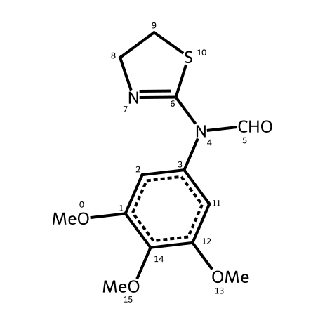 COc1cc(N(C=O)C2=NCCS2)cc(OC)c1OC